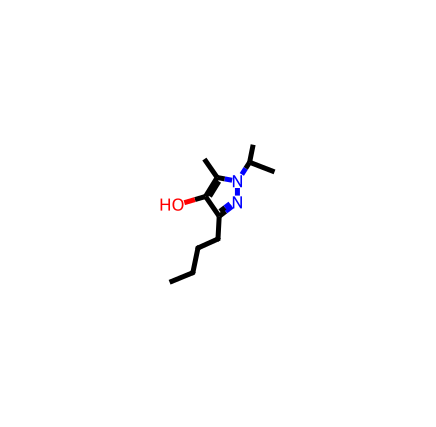 CCCCc1nn(C(C)C)c(C)c1O